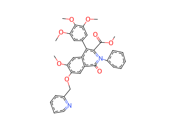 COC(=O)c1c(-c2cc(OC)c(OC)c(OC)c2)c2cc(OC)c(OCc3ccccn3)cc2c(=O)n1-c1ccccc1